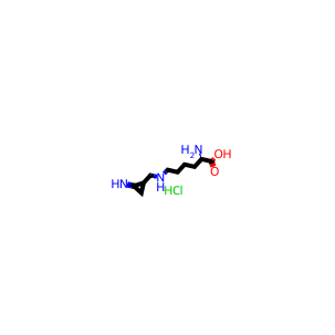 Cl.N=C1CC1CNCCCC[C@H](N)C(=O)O